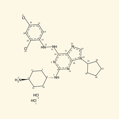 Cl.Cl.N[C@H]1CC[C@H](Nc2nc(NNc3ccc(Cl)cc3Cl)c3ncn(C4CCCC4)c3n2)CC1